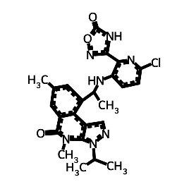 Cc1cc(C(C)Nc2ccc(Cl)nc2-c2noc(=O)[nH]2)c2c(c1)c(=O)n(C)c1c2cnn1C(C)C